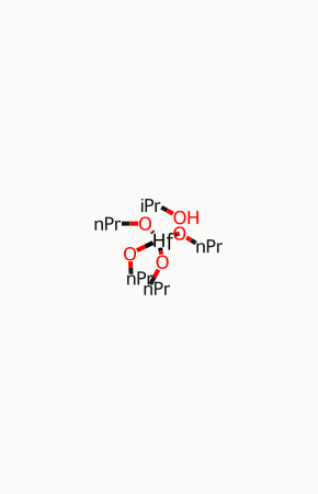 CC(C)O.CCC[O][Hf]([O]CCC)([O]CCC)[O]CCC